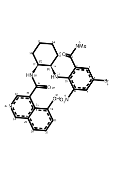 CNC(=O)c1cc(Br)cc([N+](=O)[O-])c1N[C@@H]1CCCC[C@@H]1NC(=O)c1cncc2cccc(O)c12